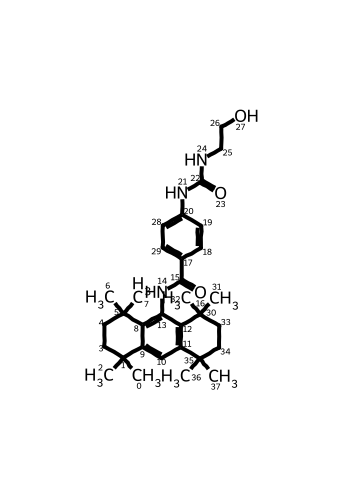 CC1(C)CCC(C)(C)c2c1cc1c(c2NC(=O)c2ccc(NC(=O)NCCO)cc2)C(C)(C)CCC1(C)C